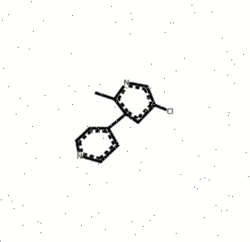 Cc1ncc(Cl)cc1-c1ccncc1